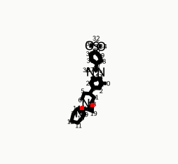 Cc1cc(C2CCN(C3CC4CCC(C3)N4CC3CC3)CC2)cc2c1nc(-c1ccc(S(C)(=O)=O)cc1)n2C